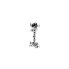 CCOC1C(O)C(O)C1NCCOCCOCCOCCNC(=O)CCC(P(=O)(O)O)P(=O)(O)O